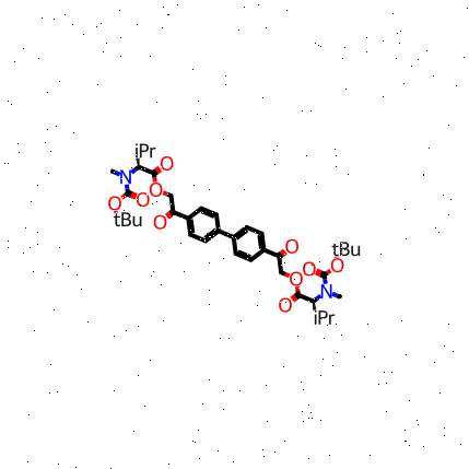 CC(C)[C@@H](C(=O)OCC(=O)c1ccc(-c2ccc(C(=O)COC(=O)[C@H](C(C)C)N(C)C(=O)OC(C)(C)C)cc2)cc1)N(C)C(=O)OC(C)(C)C